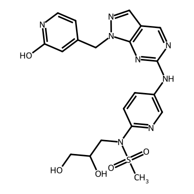 CS(=O)(=O)N(CC(O)CO)c1ccc(Nc2ncc3cnn(Cc4ccnc(O)c4)c3n2)cn1